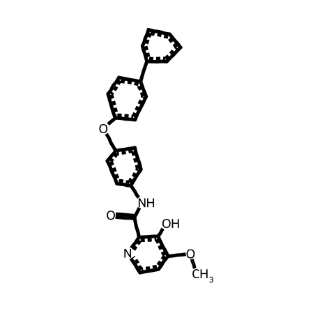 COc1ccnc(C(=O)Nc2ccc(Oc3ccc(-c4ccccc4)cc3)cc2)c1O